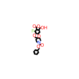 O=C1OC(O)c2cc3c(c(F)c21)OCC1(CCN(C(=O)OCc2ccccc2)CC1)O3